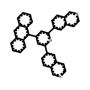 c1ccc2c(-c3cc(-c4ccc5cnccc5c4)nc(-c4ccc5cnccc5c4)c3)c3ccccc3cc2c1